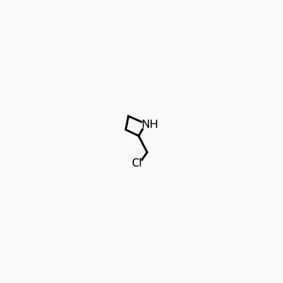 ClCC1CCN1